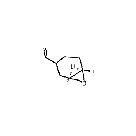 C=CC1CC[C@@H]2O[C@H]2C1